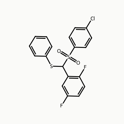 O=S(=O)(c1ccc(Cl)cc1)C(Sc1ccccc1)c1cc(F)ccc1F